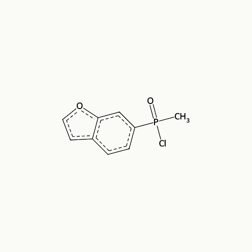 CP(=O)(Cl)c1ccc2ccoc2c1